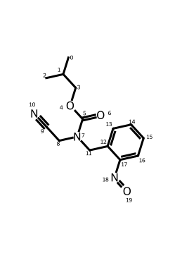 CC(C)COC(=O)N(CC#N)Cc1ccccc1N=O